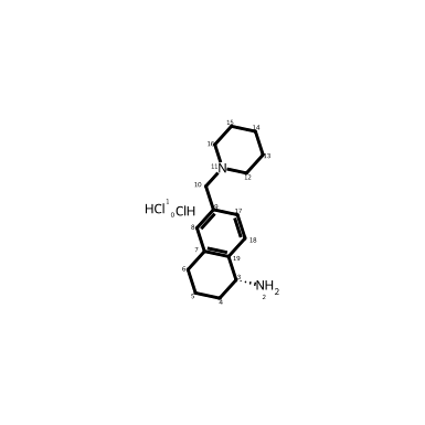 Cl.Cl.N[C@@H]1CCCc2cc(CN3CCCCC3)ccc21